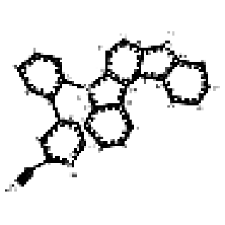 N#Cc1cc(-c2ccccc2-n2c3ccccc3c3c4c(ccc32)oc2ccccc24)ccn1